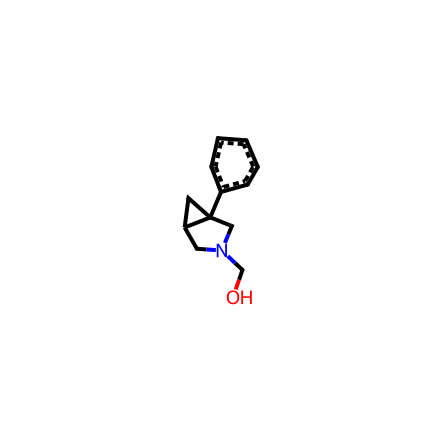 OCN1CC2CC2(c2ccccc2)C1